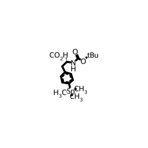 CC(C)(C)OC(=O)N[C@H](Cc1cc[c]([Sn]([CH3])([CH3])[CH3])cc1)C(=O)O